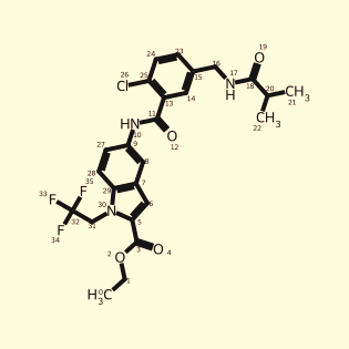 CCOC(=O)c1cc2cc(NC(=O)c3cc(CNC(=O)C(C)C)ccc3Cl)ccc2n1CC(F)(F)F